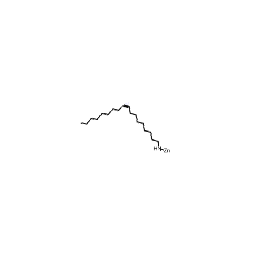 CCCCCCCC/C=C\CCCCCCCC[NH][Zn]